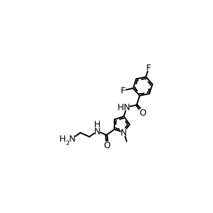 Cn1cc(NC(=O)c2ccc(F)cc2F)cc1C(=O)NCCN